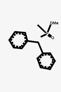 COP(C)(C)=O.c1ccc(Cc2ccccc2)cc1